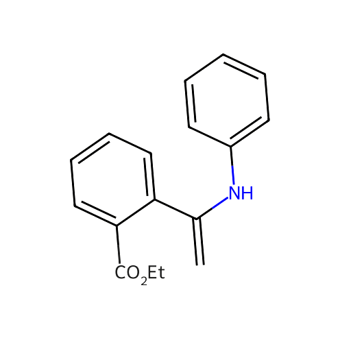 C=C(Nc1ccccc1)c1ccccc1C(=O)OCC